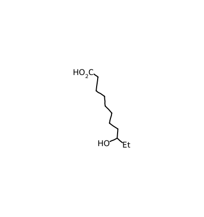 CCC(O)CCCCCCCC(=O)O